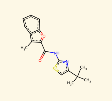 Cc1c(C(=O)Nc2nc(C(C)(C)C)cs2)oc2ccccc12